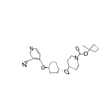 CC1(OC(=O)N2CCC(O[C@H]3CC[C@H](Oc4ccncc4C#N)CC3)CC2)CCC1